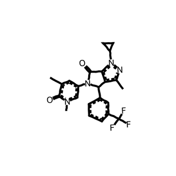 Cc1nn(C2CC2)c2c1C(c1cccc(C(F)(F)F)c1)N(c1cc(C)c(=O)n(C)c1)C2=O